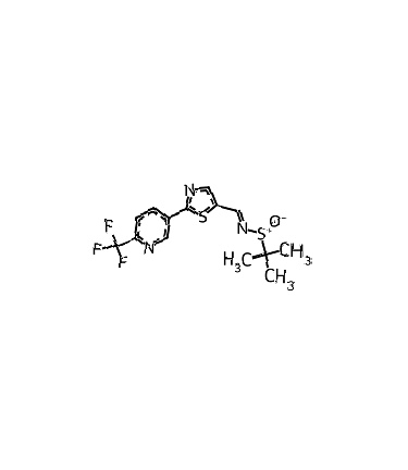 CC(C)(C)[S@@+]([O-])N=Cc1cnc(-c2ccc(C(F)(F)F)nc2)s1